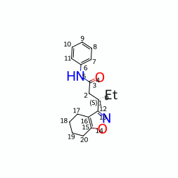 CC[C@@H](CC(=O)Nc1ccccc1)c1noc2c1CCCC2